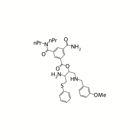 CCCN(CCC)C(=O)c1cc(C(N)=O)cc(C(=O)OC(CNCc2cccc(OC)c2)C(N)CSc2ccccc2)c1